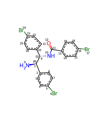 N[C@H](c1ccc(Br)cc1)[C@@H](NC(=O)c1ccc(Br)cc1)c1ccc(Br)cc1